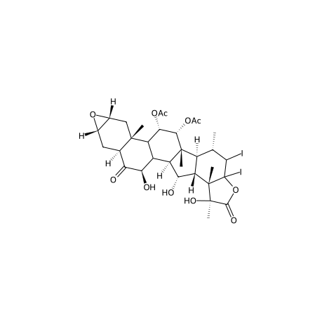 CC(=O)O[C@H]1C2C([C@@H]3[C@@H](O)[C@@H]4[C@H]([C@H](C)C(I)C5(I)OC(=O)[C@@](C)(O)[C@]45C)[C@@]3(C)[C@H]1OC(C)=O)[C@@H](O)C(=O)[C@H]1C[C@@H]3O[C@@H]3C[C@]21C